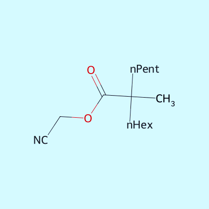 CCCCCCC(C)(CCCCC)C(=O)OCC#N